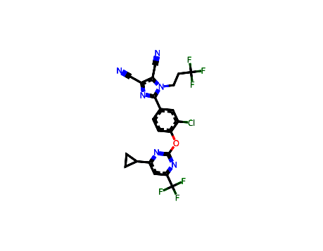 N#Cc1nc(-c2ccc(Oc3nc(C4CC4)cc(C(F)(F)F)n3)c(Cl)c2)n(CCC(F)(F)F)c1C#N